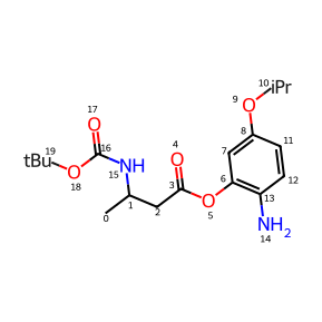 CC(CC(=O)Oc1cc(OC(C)C)ccc1N)NC(=O)OC(C)(C)C